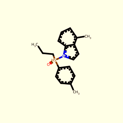 CCC[SH](=O)(c1ccc(C)cc1)n1ccc2c(C)cccc21